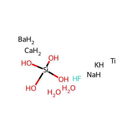 F.O.O.O[Si](O)(O)O.[BaH2].[CaH2].[KH].[NaH].[Ti]